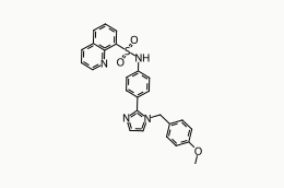 COc1ccc(Cn2ccnc2-c2ccc(NS(=O)(=O)c3cccc4cccnc34)cc2)cc1